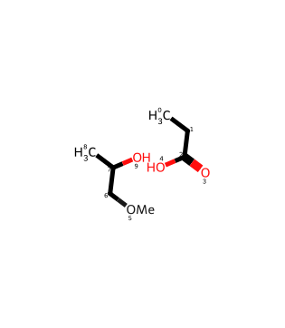 CCC(=O)O.COCC(C)O